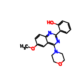 COc1ccc2nc(-c3ccccc3O)nc(N3CCOCC3)c2c1